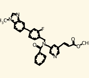 COC(=O)/C=C/c1cncc(N(Cc2ccc(-c3ccc4c(c3)ncn4C)cc2F)C(=O)c2ccccc2)c1